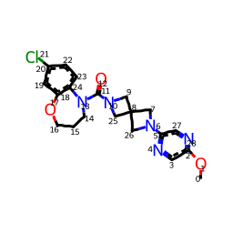 COc1cnc(N2CC3(CN(C(=O)N4CCCOc5cc(Cl)ccc54)C3)C2)cn1